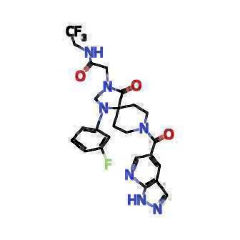 O=C(CN1CN(c2cccc(F)c2)C2(CCN(C(=O)c3cnc4[nH]ncc4c3)CC2)C1=O)NCC(F)(F)F